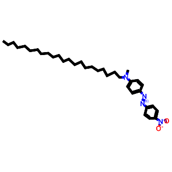 CCCCCCCCCCCCCCCCCCCCCCN(C)c1ccc(/N=N/c2ccc([N+](=O)[O-])cc2)cc1